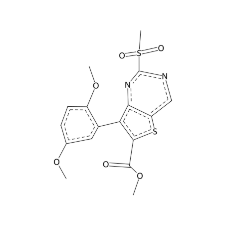 COC(=O)c1sc2cnc(S(C)(=O)=O)nc2c1-c1cc(OC)ccc1OC